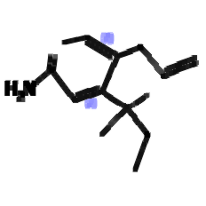 C=CCC(=C/C)/C(=C\C(=C)N)C(C)(C)CC